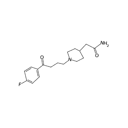 NC(=O)CC1CCN(CCCC(=O)c2ccc(F)cc2)CC1